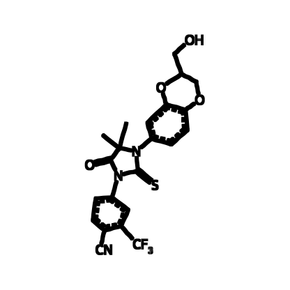 CC1(C)C(=O)N(c2ccc(C#N)c(C(F)(F)F)c2)C(=S)N1c1ccc2c(c1)OC(CO)CO2